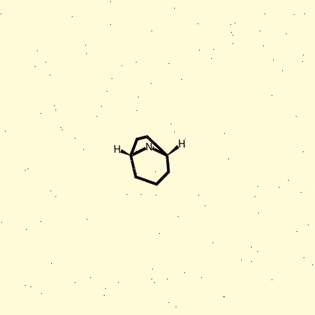 C1C[C@@H]2CC[C@H](C1)[N]2